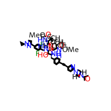 COC(=O)N[C@H](C(=O)N[C@@H](Cc1ccc(C#Cc2ccc(N3C[C@@H]4C[C@H]3CN4C3COC3)nc2)cc1)[C@@H](O)CN(Cc1c(F)cc(-c2ccn(C3CC3)n2)cc1F)NC(=O)[C@@H](NC(=O)OC)C(C)(C)C(F)(F)F)C(C)(C)C(F)(F)F